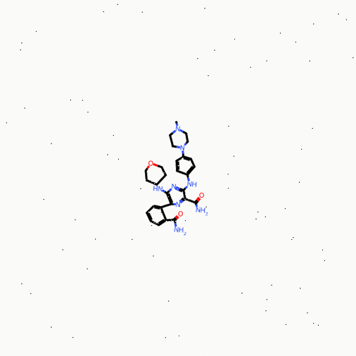 CN1CCN(c2ccc(Nc3nc(NC4CCOCC4)c(-c4ccccc4C(N)=O)nc3C(N)=O)cc2)CC1